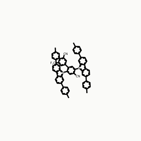 Cc1ccc(-c2ccc3c4ccc(-c5ccc(C)cc5)cc4n(-c4cc(-c5cc(C#N)cc(C(F)(F)F)c5)c(-n5c6cc(-c7ccc(C)cc7)ccc6c6ccc(-c7ccc(C)cc7)cc65)cc4C#N)c3c2)cc1